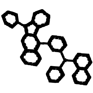 c1ccc(N(c2cccc(-c3c4ccccc4cc4c3c3ccccc3n4-c3ccccc3)c2)c2cccc3ccccc23)cc1